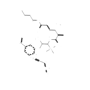 C=C(CC=CC(=O)OCCCC)C(=O)OC(C(C)O)[N+](C)(C)C.C=Cc1ccccc1.N#CC=C=O.[Cl-]